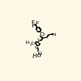 Cc1cc(SCC(CCC#N)COc2ccc(C(F)(F)F)cc2)ccc1OCCOO